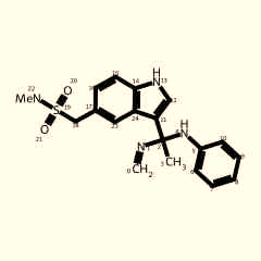 C=NC(C)(Nc1ccccc1)c1c[nH]c2ccc(CS(=O)(=O)NC)cc12